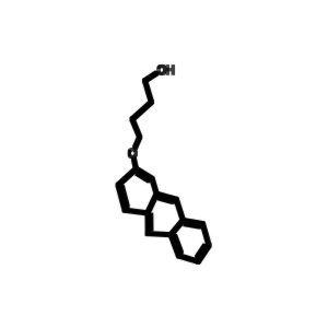 OCCCCOc1ccc2cc3ccccc3cc2c1